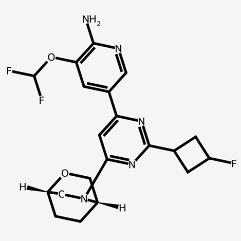 Nc1ncc(-c2cc(N3C[C@@H]4CC[C@H]3CO4)nc(C3CC(F)C3)n2)cc1OC(F)F